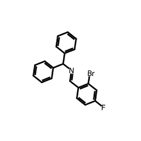 Fc1ccc(/C=N/C(c2ccccc2)c2ccccc2)c(Br)c1